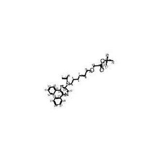 CC(C)N(CCCCCCOCC(=O)OC(C)(C)C)c1cnc(-c2ccccc2)c(-c2ccccc2)n1